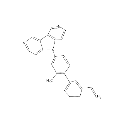 C=Cc1cccc(-c2ccc(-n3c4ccncc4c4cnccc43)cc2C)c1